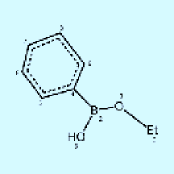 CCOB(O)c1ccccc1